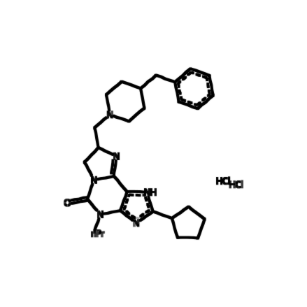 CCCN1C(=O)N2CC(CN3CCC(Cc4ccccc4)CC3)N=C2c2[nH]c(C3CCCC3)nc21.Cl.Cl